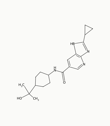 CC(C)(O)C1CCC(NC(=O)c2cnc3c(c2)BC(C2CC2)=N3)CC1